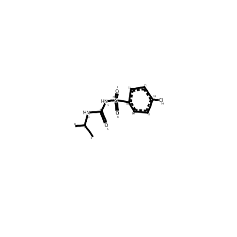 CC(C)NC(=O)NS(=O)(=O)c1ccc(Cl)cc1